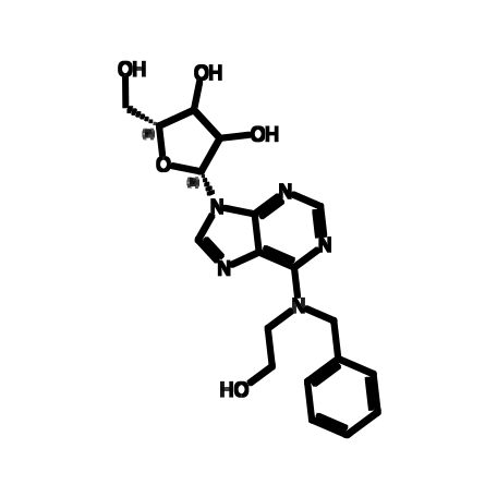 OCCN(Cc1ccccc1)c1ncnc2c1ncn2[C@@H]1O[C@H](CO)C(O)C1O